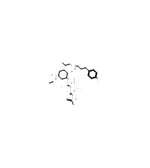 CCCN(CCCc1ccc(F)cc1)C[C@@H]1CC[C@@H](N(C)C(C)=O)C[C@H]1NC(=O)Nc1nc(C)cs1